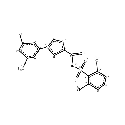 Cc1cc(-n2cnc(C(=O)NS(=O)(=O)c3c(Cl)cccc3Cl)c2)cc(C(F)(F)F)c1